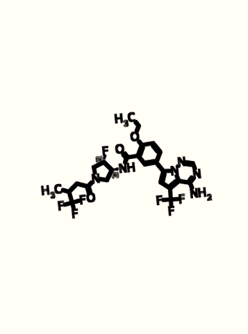 CCOc1ccc(-c2cc(C(F)(F)F)c3c(N)ncnn23)cc1C(=O)N[C@@H]1CN(C(=O)CC(C)C(F)(F)F)C[C@@H]1F